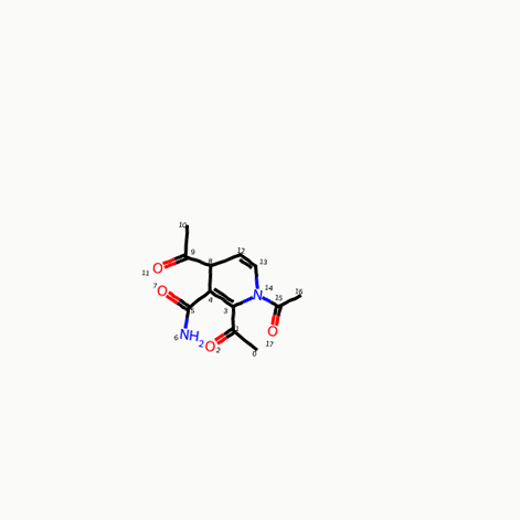 CC(=O)C1=C(C(N)=O)C(C(C)=O)C=CN1C(C)=O